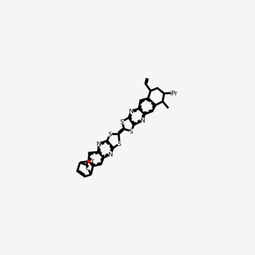 C=CC1CC(C(C)C)C(C)c2cc3nc4c(nc3cc21)S/C(=C1/Sc2nc3cc5c(cc3nc2S1)C1C=CC5CC1C(C)C)S4